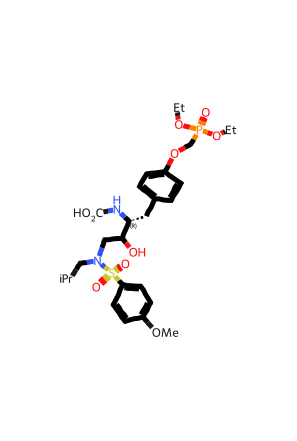 CCOP(=O)(COc1ccc(C[C@@H](NC(=O)O)C(O)CN(CC(C)C)S(=O)(=O)c2ccc(OC)cc2)cc1)OCC